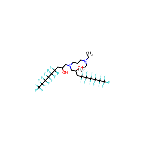 CCN(CC)CCCN(CC(O)CC(F)(F)C(F)(F)C(F)(F)C(F)(F)C(F)(F)C(F)(F)F)CC(O)CC(F)(F)C(F)(F)C(F)(F)C(F)(F)C(F)(F)C(F)(F)F